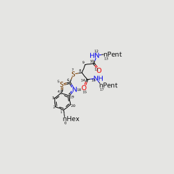 CCCCCCc1ccc2sc(SC(CC(=O)NCCCCC)C(=O)NCCCCC)nc2c1